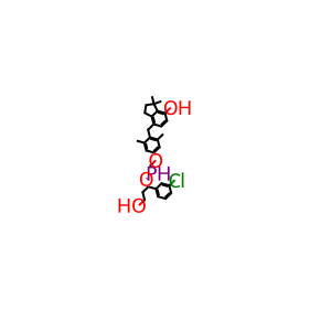 Cc1cc(OCPOC(CCO)c2cccc(Cl)c2)cc(C)c1Cc1ccc(O)c2c1CCC2(C)C